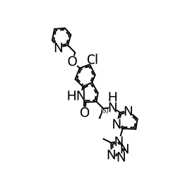 Cc1nnnn1-c1ccnc(N[C@@H](C)c2cc3cc(Cl)c(OCc4ccccn4)cc3[nH]c2=O)n1